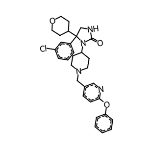 O=C1NCC(c2cccc(Cl)c2)(C2CCOCC2)N1C1CCN(Cc2ccc(Oc3ccccc3)nc2)CC1